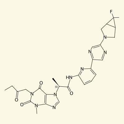 CCC(=O)Cn1c(=O)c2c(ncn2[C@@H](C)C(=O)Nc2cccc(-c3cnc(N4CC5C(C4)C5(C)F)cn3)n2)n(C)c1=O